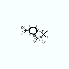 CC1(C)Oc2ccc([N+](=O)[O-])cc2[C@H](Br)[C@H]1Br